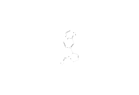 O=CN1CCCC1c1ccn2ccnc2c1